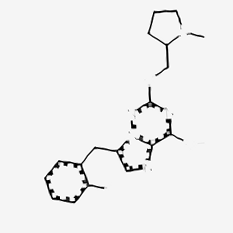 CN1CCCC1COc1nc(O)c2ncc(Cc3ccccc3Cl)n2n1